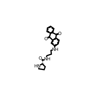 O=C1c2ccccc2C(=O)c2cc(NCCCNC(=O)[C@@H]3CCCN3)ccc21